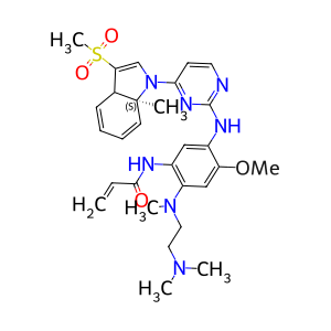 C=CC(=O)Nc1cc(Nc2nccc(N3C=C(S(C)(=O)=O)C4C=CC=C[C@@]43C)n2)c(OC)cc1N(C)CCN(C)C